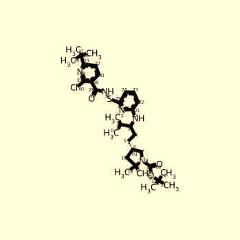 CC(C)C(CC[C@@H]1CN(C(=O)OC(C)(C)C)C(C)(C)C1)Nc1cccc(SNC(=O)c2ccc(C(C)(C)C)nc2Cl)n1